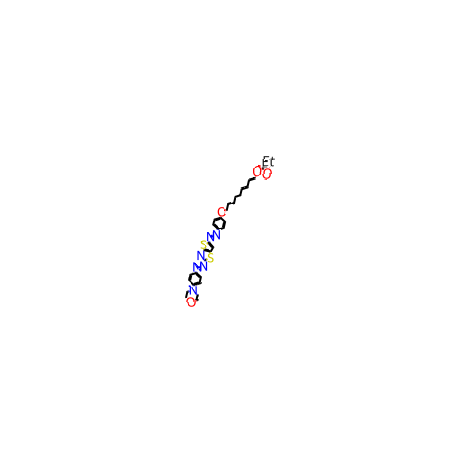 CCC(=O)OCCCCCCCCCOc1ccc(N=Nc2cc3sc(N=Nc4ccc(N5CCOCC5)cc4)nc3s2)cc1